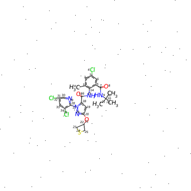 Cc1cc(Cl)cc(C(=O)NC(C)(C)C)c1NC(=O)c1cc(OC2CSC2)nn1-c1ncc(Cl)cc1Cl